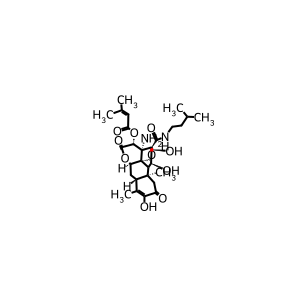 CC(C)=CC(=O)O[C@H]1C(=O)O[C@@H]2C[C@H]3C(C)=C(O)C(=O)C[C@]3(C)C3[C@@H](O)[C@H](O)[C@@]4(C(=O)NCCC(C)C)OC[C@]32[C@@]14N